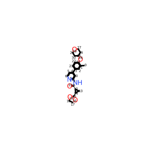 Cc1cc(-c2ccnc(NC(=O)[C@@H]3C[C@H]3C3OCCO3)c2)ccc1OC1CCOCC1